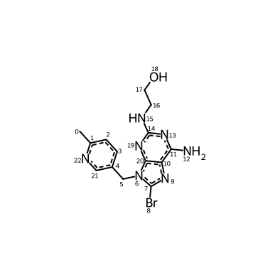 Cc1ccc(Cn2c(Br)nc3c(N)nc(NCCO)nc32)cn1